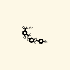 CCc1ccc(-c2nc3cc(NC(=O)c4cc(C(=O)NC)ccc4Cl)ccc3o2)cc1